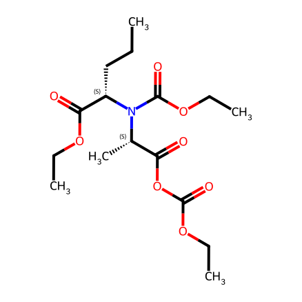 CCC[C@@H](C(=O)OCC)N(C(=O)OCC)[C@@H](C)C(=O)OC(=O)OCC